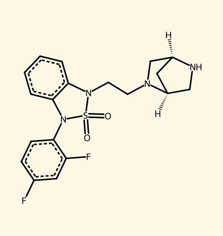 O=S1(=O)N(CCN2C[C@@H]3C[C@H]2CN3)c2ccccc2N1c1ccc(F)cc1F